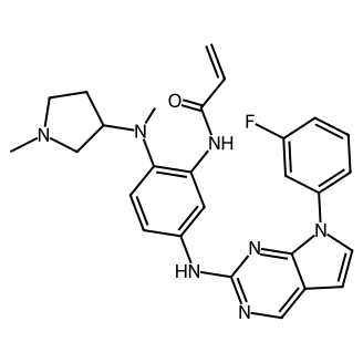 C=CC(=O)Nc1cc(Nc2ncc3ccn(-c4cccc(F)c4)c3n2)ccc1N(C)C1CCN(C)C1